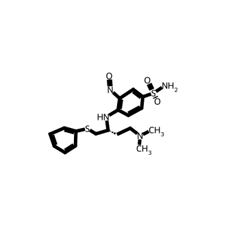 CN(C)CC[C@H](CSc1ccccc1)Nc1ccc(S(N)(=O)=O)cc1N=O